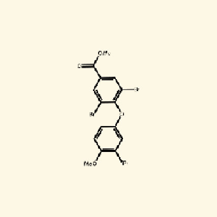 COC(=O)c1cc(Br)c(Oc2ccc(OC)c(C(C)C)c2)c(Br)c1